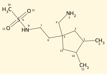 CC1CC(CN)(CCNS(C)(=O)=O)CC1C